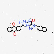 Nc1nc(=O)c2c(ncn2Cc2ccc3ccccc3c2)n1CCc1ccc2c(c1)C(=O)c1ccccc1C2=O